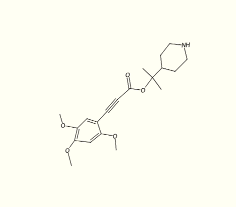 COc1cc(OC)c(OC)cc1C#CC(=O)OC(C)(C)C1CCNCC1